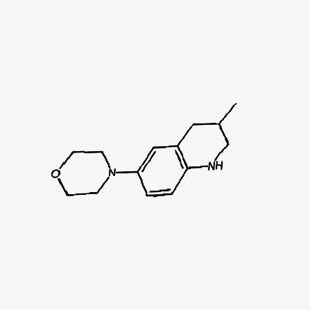 CC1CNc2ccc(N3CCOCC3)cc2C1